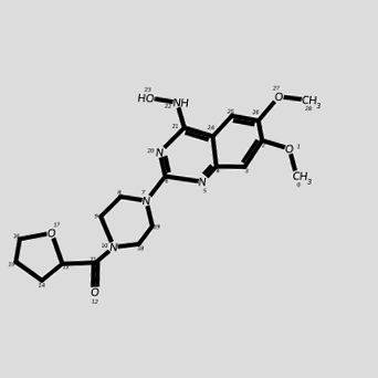 COc1cc2nc(N3CCN(C(=O)C4CCCO4)CC3)nc(NO)c2cc1OC